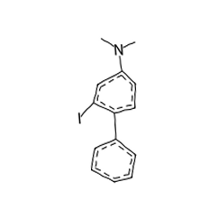 CN(C)c1ccc(-c2ccccc2)c(I)c1